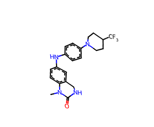 CN1C(=O)NCc2cc(Nc3ccc(N4CCC(C(F)(F)F)CC4)cc3)ccc21